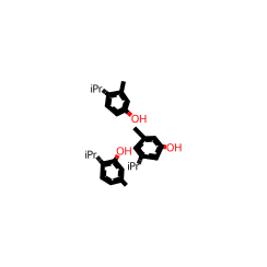 Cc1cc(O)cc(C(C)C)c1.Cc1cc(O)ccc1C(C)C.Cc1ccc(C(C)C)c(O)c1